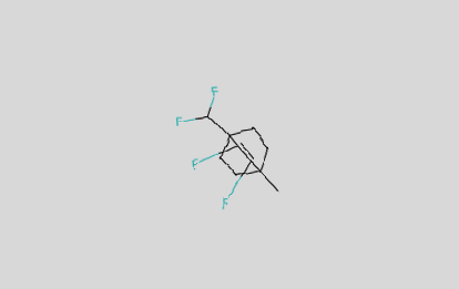 CC12CCC(C(F)F)(CC1)C(F)=C2F